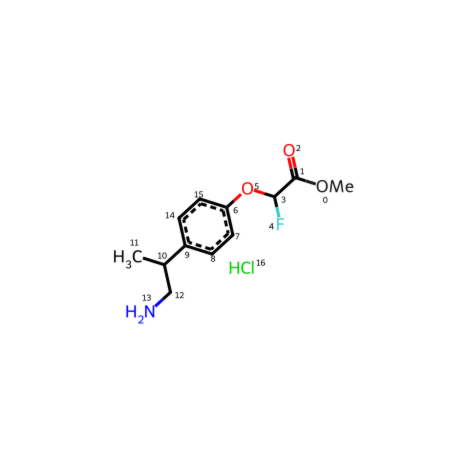 COC(=O)C(F)Oc1ccc(C(C)CN)cc1.Cl